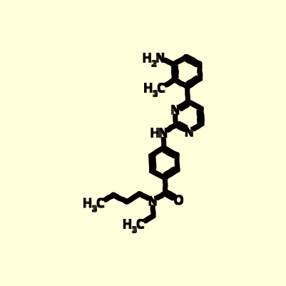 CCCCN(CC)C(=O)c1ccc(Nc2nccc(-c3cccc(N)c3C)n2)cc1